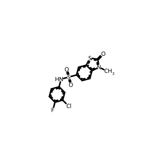 Cn1c(=O)sc2cc(S(=O)(=O)Nc3ccc(F)c(Cl)c3)ccc21